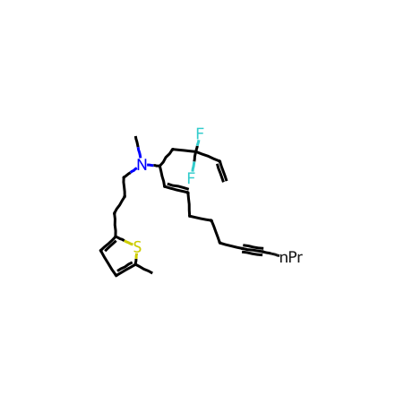 C=CC(F)(F)CC(/C=C/CCCC#CCCC)N(C)CCCc1ccc(C)s1